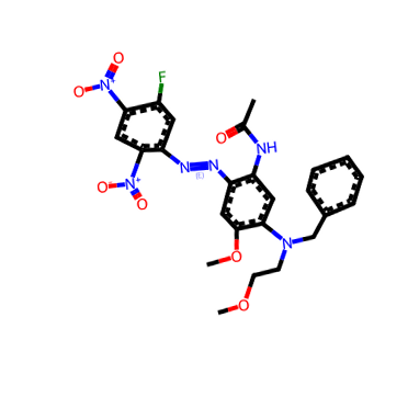 COCCN(Cc1ccccc1)c1cc(NC(C)=O)c(/N=N/c2cc(F)c([N+](=O)[O-])cc2[N+](=O)[O-])cc1OC